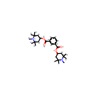 CN1C(C)(C)CC(OC(=O)c2cccc(C(=O)OC3CC(C)(C)N(C)C(C)(C)C3)c2)CC1(C)C